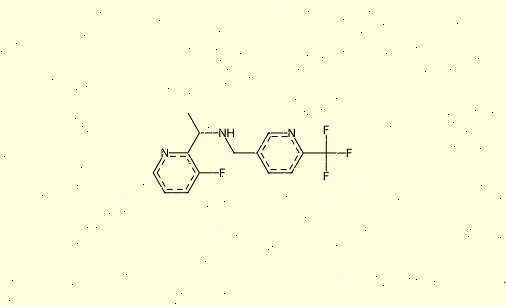 CC(NCc1ccc(C(F)(F)F)nc1)c1ncccc1F